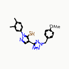 COc1ccc(Cn2nnc(-c3cnn(-c4ccc(C)c(C)c4)c3S)n2)cc1